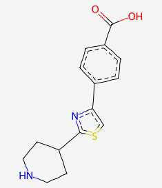 O=C(O)c1ccc(-c2csc(C3CCNCC3)n2)cc1